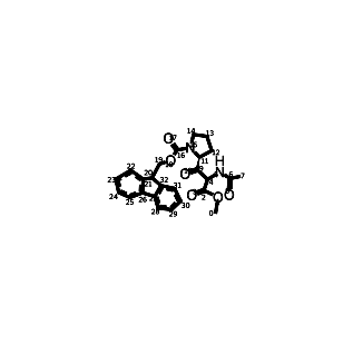 COC(=O)C(NC(C)=O)C(=O)[C@@H]1CCCN1C(=O)OCC1c2ccccc2-c2ccccc21